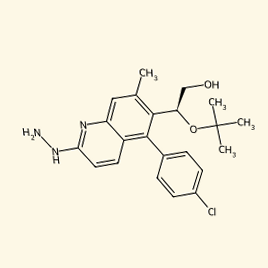 Cc1cc2nc(NN)ccc2c(-c2ccc(Cl)cc2)c1[C@@H](CO)OC(C)(C)C